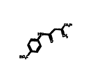 C=C(CC(=O)Nc1ccc(C(=O)OCC)cc1)C(=O)OCC